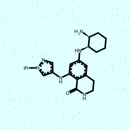 CC(C)n1cc(Nc2cc(N[C@@H]3CCCC[C@@H]3N)cc3c2C(=O)NCC3)cn1